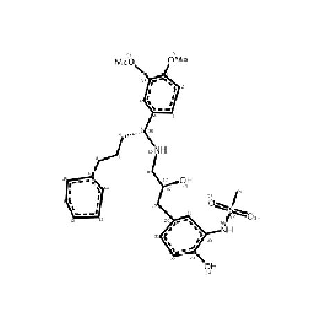 COc1ccc([C@@H](CCCc2ccccc2)NC[C@@H](O)Cc2ccc(O)c(NS(C)(=O)=O)c2)cc1OC